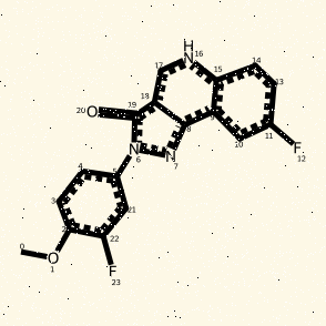 COc1ccc(-n2nc3c4cc(F)ccc4[nH]cc-3c2=O)cc1F